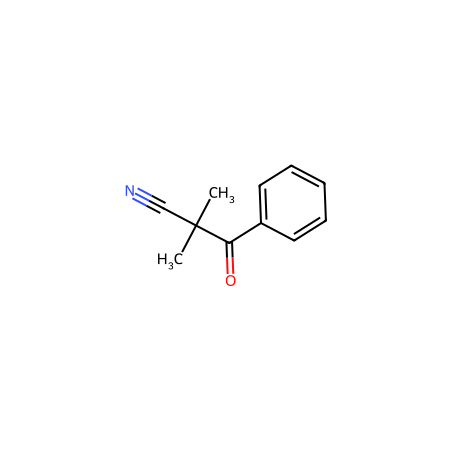 CC(C)(C#N)C(=O)c1ccccc1